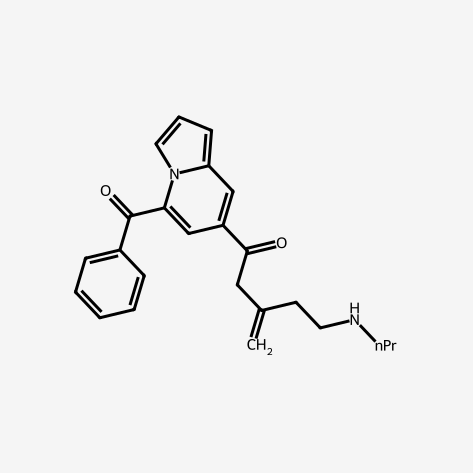 C=C(CCNCCC)CC(=O)c1cc(C(=O)c2ccccc2)n2cccc2c1